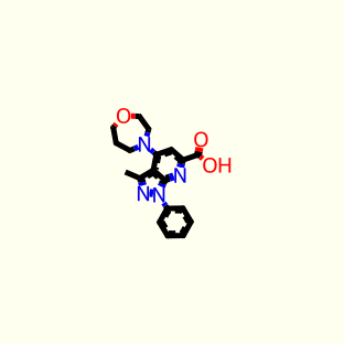 Cc1nn(-c2ccccc2)c2nc(C(=O)O)cc(N3CCCOCC3)c12